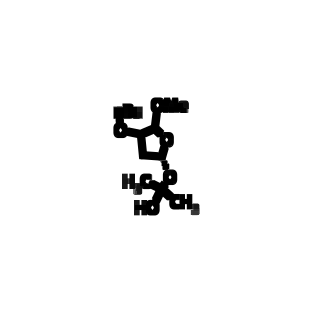 CCCCOC1C[C@@H](OC(C)(C)O)OC1OC